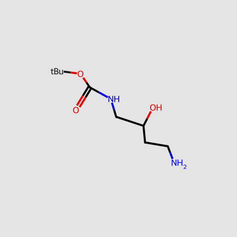 CC(C)(C)OC(=O)NCC(O)CCN